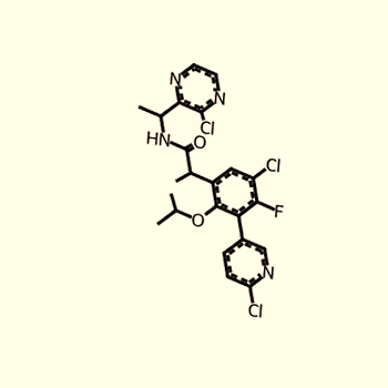 CC(C)Oc1c(C(C)C(=O)NC(C)c2nccnc2Cl)cc(Cl)c(F)c1-c1ccc(Cl)nc1